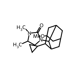 COC12CC3CC(C1)C(N1CC(C)N(C)C1=O)C(C3)C2C1CC1